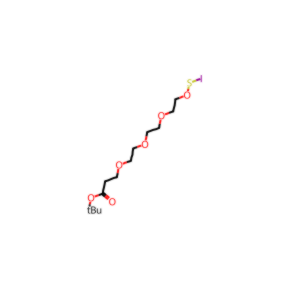 CC(C)(C)OC(=O)CCOCCOCCOCCOSI